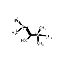 C/C(=C\N(C)C(C)C)S(C)(C)C